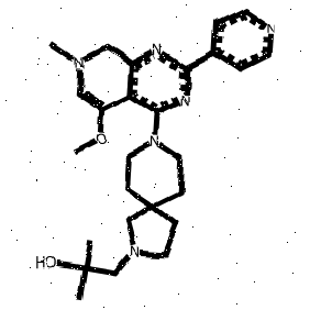 COC1=CN(C)Cc2nc(-c3ccncc3)nc(N3CCC4(CCN(CC(C)(C)O)C4)CC3)c21